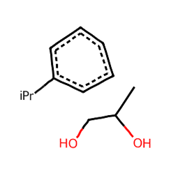 CC(C)c1ccccc1.CC(O)CO